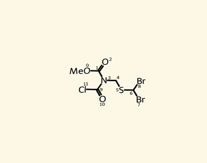 COC(=O)N(CSC(Br)Br)C(=O)Cl